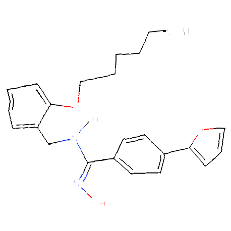 CC(C)N(Cc1ccccc1OCCCCCC(=O)O)/C(=N/O)c1ccc(-c2ccco2)cc1